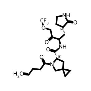 C=CCCC(=O)N1CC2(CC2)C[C@H]1C(=O)NC(C[C@@H]1CCNC1=O)C(=O)COC(F)(F)F